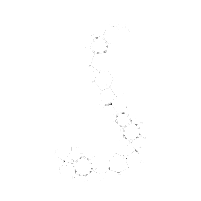 COc1ccc(CN2CCC(NC(=O)c3cc4cc(C(=O)N5CCC(Oc6ccc(C(F)(F)F)cc6)CC5)ccc4o3)CC2)cc1